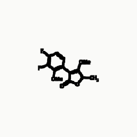 COC1=C(c2ccc(F)c(F)c2OC)C(=O)OC1C